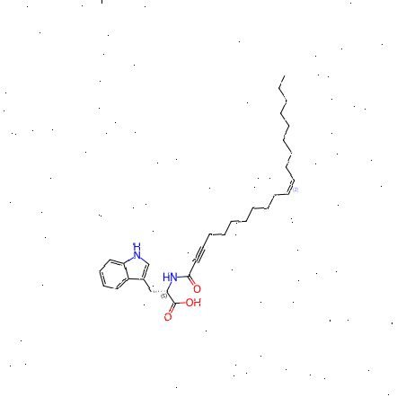 CCCCCCCC/C=C\CCCCCCCC#CC(=O)N[C@@H](Cc1c[nH]c2ccccc12)C(=O)O